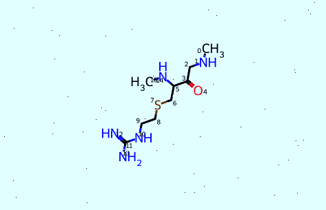 CNCC(=O)C(CSCCNC(=N)N)NC